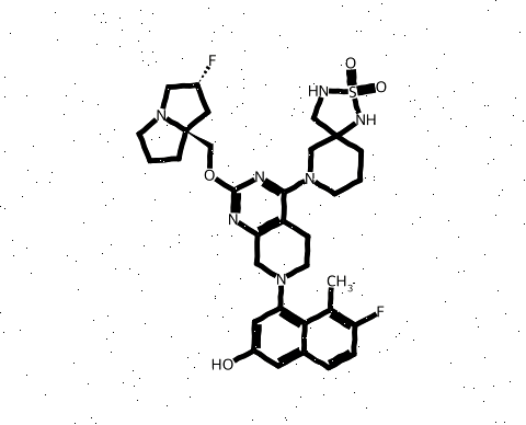 Cc1c(F)ccc2cc(O)cc(N3CCc4c(nc(OC[C@@]56CCCN5C[C@H](F)C6)nc4N4CCCC5(CNS(=O)(=O)N5)C4)C3)c12